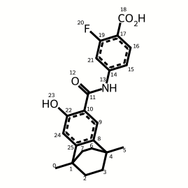 CC12CCC(C)(CC1)c1cc(C(=O)Nc3ccc(C(=O)O)c(F)c3)c(O)cc12